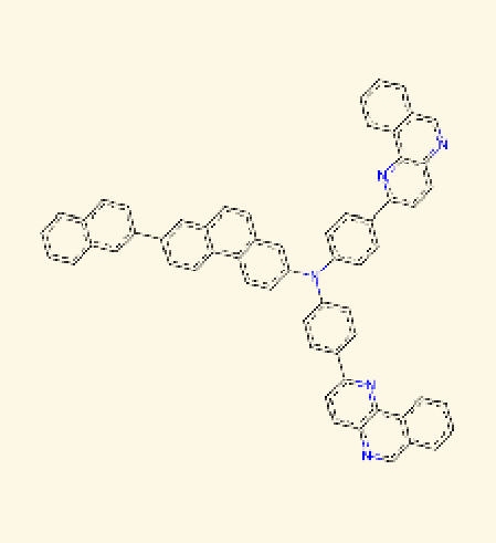 c1ccc2cc(-c3ccc4c(ccc5cc(N(c6ccc(-c7ccc8ncc9ccccc9c8n7)cc6)c6ccc(-c7ccc8ncc9ccccc9c8n7)cc6)ccc54)c3)ccc2c1